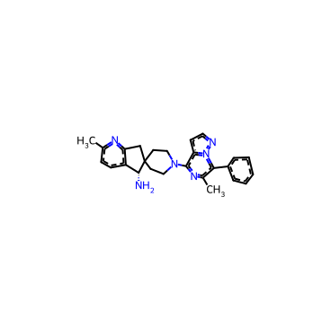 Cc1ccc2c(n1)CC1(CCN(c3nc(C)c(-c4ccccc4)n4nccc34)CC1)[C@@H]2N